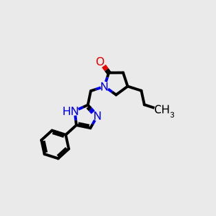 CCCC1CC(=O)N(Cc2ncc(-c3ccccc3)[nH]2)C1